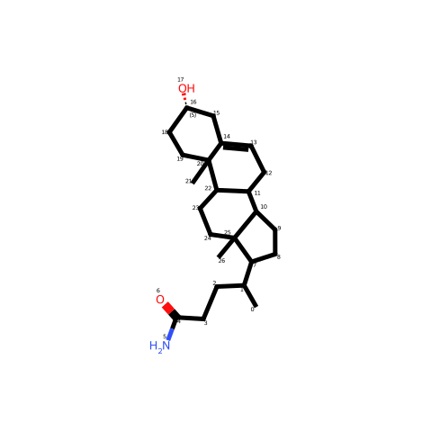 CC(CCC(N)=O)C1CCC2C3CC=C4C[C@@H](O)CCC4(C)C3CCC12C